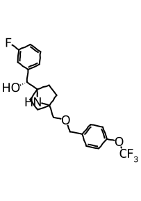 O[C@H](c1cccc(F)c1)C12CCC(COCc3ccc(OC(F)(F)F)cc3)(CC1)N2